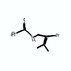 CC(C)=C(CNC(=S)C(C)C)C(C)C